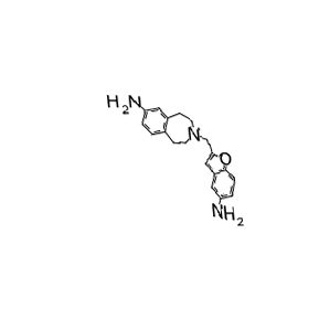 Nc1ccc2c(c1)CCN(Cc1cc3cc(N)ccc3o1)CC2